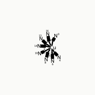 N#[C][Cu]([C]#N)([C]#N)([C]#N)([C]#N)([C]#N)([C]#N)[C]#N